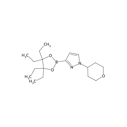 CCC1(CC)OB(c2ccn(C3CCOCC3)n2)OC1(CC)CC